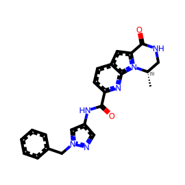 C[C@H]1CNC(=O)c2cc3ccc(C(=O)Nc4cnn(Cc5ccccc5)c4)nc3n21